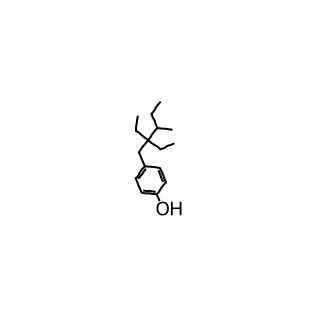 CCC(C)C(CC)(CC)Cc1ccc(O)cc1